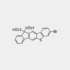 CCCCCCCCC1(CCCCCCCC)c2ccccc2-c2cc3sc4cc(Br)c[c]c4c3cc21